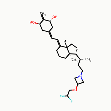 C=C1[C@H](O)CC(=C/C=C2\CCC[C@]3(C)[C@@H]([C@H](C)CCN4CC(OCC(F)F)C4)CC[C@@H]23)C[C@H]1O